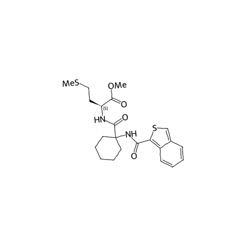 COC(=O)[C@H](CCSC)NC(=O)C1(NC(=O)c2scc3ccccc23)CCCCC1